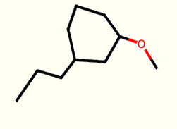 [CH2]CCC1CCCC(OC)C1